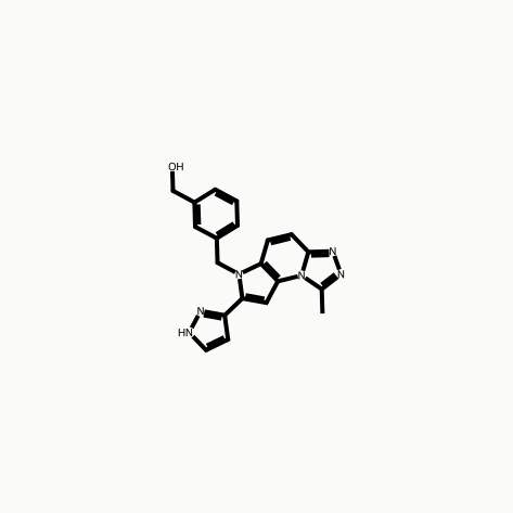 Cc1nnc2ccc3c(cc(-c4cc[nH]n4)n3Cc3cccc(CO)c3)n12